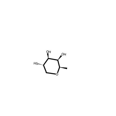 C[C@H]1O[CH][C@H](S)[C@@H](O)[C@H]1O